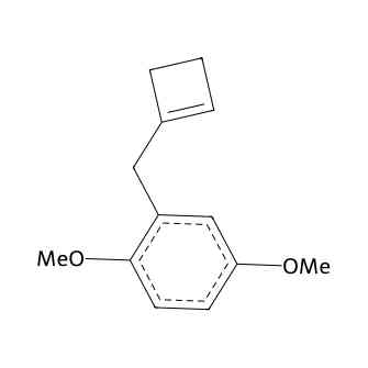 COc1ccc(OC)c(CC2=CCC2)c1